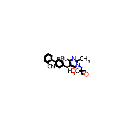 CCCCc1nc(C)n(CC2(C)COC2)c(=O)c1Cc1ccc(-c2ccccc2C#N)cc1